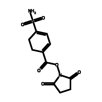 NS(=O)(=O)C1=CC=C(C(=O)ON2C(=O)CCC2=O)CC1